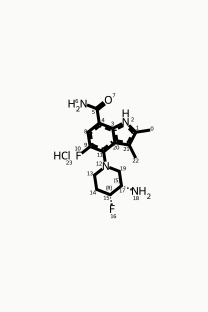 Cc1[nH]c2c(C(N)=O)cc(F)c(N3CC[C@@H](F)[C@@H](N)C3)c2c1C.Cl